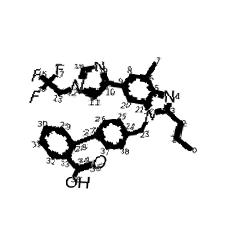 CCCc1nc2c(C)cc(-c3cn(CC(F)(F)F)cn3)cc2n1Cc1ccc(-c2ccccc2C(=O)O)cc1